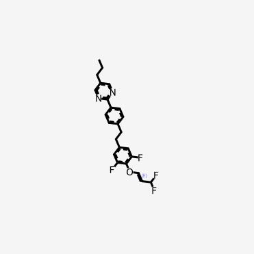 CCCc1cnc(-c2ccc(CCc3cc(F)c(O/C=C/C(F)F)c(F)c3)cc2)nc1